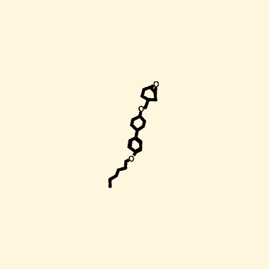 CCCCCCOc1ccc(C2CCC(OCC3CCC4OC4C3)CC2)cc1